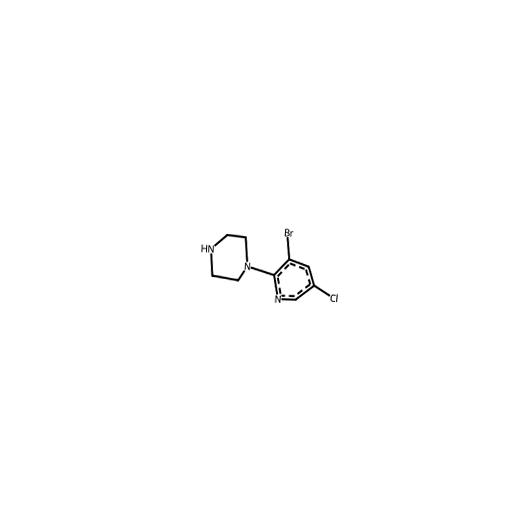 Clc1cnc(N2CCNCC2)c(Br)c1